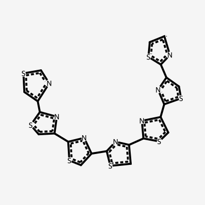 [c]1csc(-c2csc(-c3csc(-c4csc(-c5csc(-c6csc(-c7cscn7)n6)n5)n4)n3)n2)n1